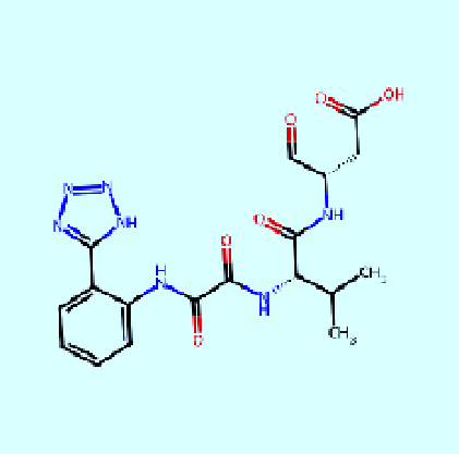 CC(C)[C@H](NC(=O)C(=O)Nc1ccccc1-c1nnn[nH]1)C(=O)N[C@H](C=O)CC(=O)O